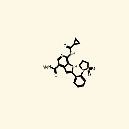 CNC(=O)c1cnc(NC(=O)C2CC2)c2[nH]c(-c3ccccc3N3CCCS3(=O)=O)cc12